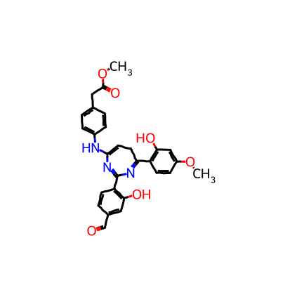 COC(=O)Cc1ccc(NC2=CCC(c3ccc(OC)cc3O)=NC(c3ccc(C=O)cc3O)=N2)cc1